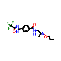 CCCO/N=C(\C)CNC(=O)c1ccc(-c2noc(C(F)(F)F)n2)cc1